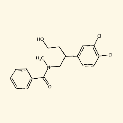 CN(CC(CCO)c1ccc(Cl)c(Cl)c1)C(=O)c1ccccc1